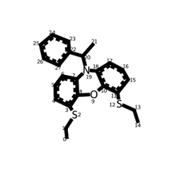 CCSc1cccc2c1Oc1c(SCC)cccc1N2C(C)c1ccccc1